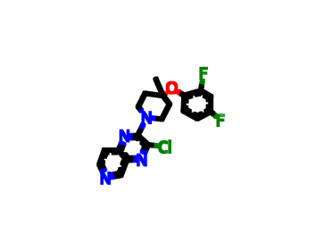 CC1(Oc2ccc(F)cc2F)CCN(c2nc3ccncc3nc2Cl)CC1